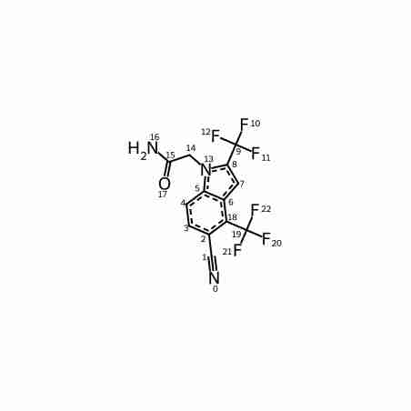 N#Cc1ccc2c(cc(C(F)(F)F)n2CC(N)=O)c1C(F)(F)F